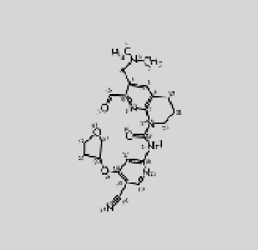 CN(C)Cc1cc2c(nc1C=O)N(C(=O)Nc1cc(OC3CCOC3)c(C#N)cn1)CCC2